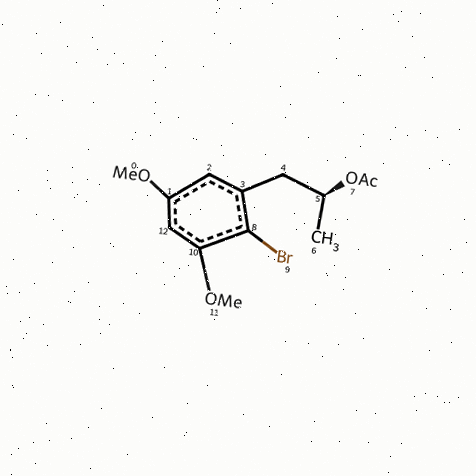 COc1cc(C[C@H](C)OC(C)=O)c(Br)c(OC)c1